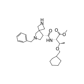 COC(=O)[C@@H](NC(=O)[C@@H]1CN(Cc2ccccc2)CC12CNC2)[C@@H](C)OCC1CCCCC1